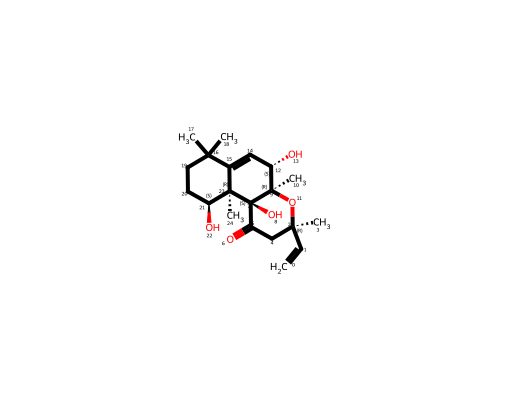 C=C[C@@]1(C)CC(=O)[C@@]2(O)[C@](C)(O1)[C@@H](O)C=C1C(C)(C)CC[C@H](O)[C@@]12C